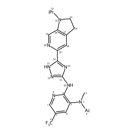 CC(=O)N(C)c1cc(C(F)(F)F)cnc1Nc1n[nH]c(-c2cc3c(cn2)N(C(C)C)CC3)n1